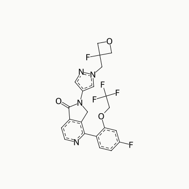 O=C1c2ccnc(-c3ccc(F)cc3OCC(F)(F)F)c2CN1c1cnn(CC2(F)COC2)c1